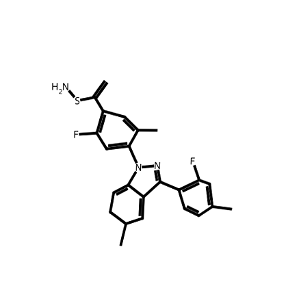 C=C(SN)c1cc(C)c(-n2nc(-c3ccc(C)cc3F)c3c2=CCC(C)C=3)cc1F